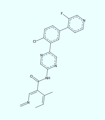 C=N/C=C(C(=O)Nc1cnc(-c2cc(-c3ccncc3F)ccc2Cl)cn1)\C(C)=C/C